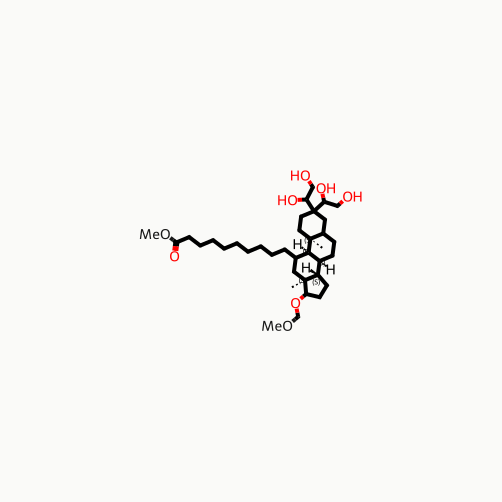 COCOC1CC[C@H]2[C@@H]3CCC4CC(C(O)CO)(C(O)CO)CC[C@]4(C)[C@@H]3C(CCCCCCCCCC(=O)OC)C[C@]12C